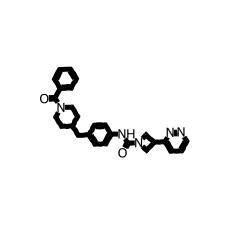 O=C(Nc1ccc(CC2CCN(C(=O)c3ccccc3)CC2)cc1)N1CC(c2cccnn2)C1